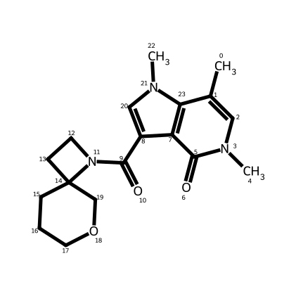 Cc1cn(C)c(=O)c2c(C(=O)N3CCC34CCCOC4)cn(C)c12